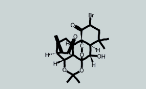 C=C1C(=O)[C@@]23[C@@H]4OC(C)(C)OC25OC[C@]2(C(=O)C(Br)CC(C)(C)[C@H]2[C@@H]5O)[C@@H]3CC[C@@H]14